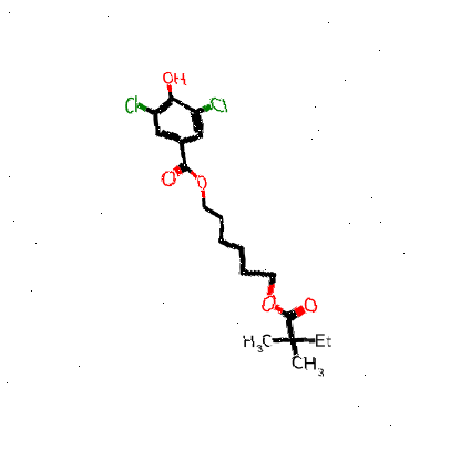 CCC(C)(C)C(=O)OCCCCCCOC(=O)c1cc(Cl)c(O)c(Cl)c1